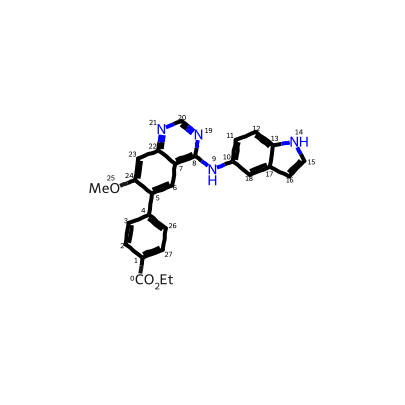 CCOC(=O)c1ccc(-c2cc3c(Nc4ccc5[nH]ccc5c4)ncnc3cc2OC)cc1